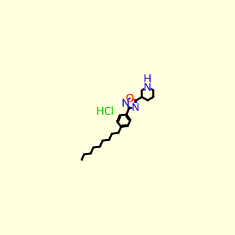 CCCCCCCCCc1ccc(-c2noc(C3CCCNC3)n2)cc1.Cl